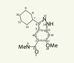 CNC(=O)c1cc2c(C3CCCCC3)n[nH]c2cc1OC